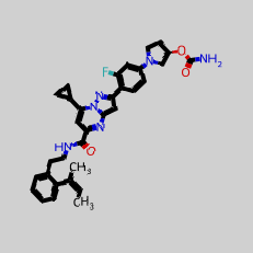 C/C=C(/C)c1ccccc1CCNC(=O)c1cc(C2CC2)n2nc(-c3ccc(N4CC[C@@H](OC(N)=O)C4)cc3F)cc2n1